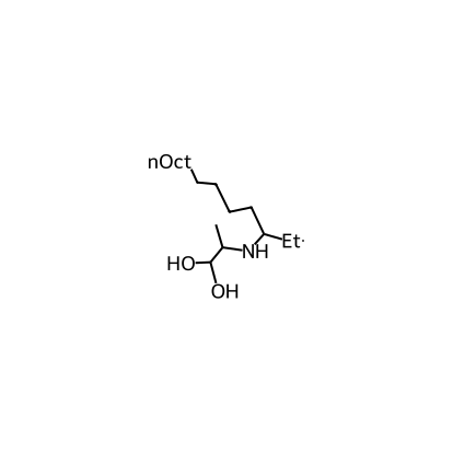 C[CH]C(CCCCCCCCCCCC)NC(C)C(O)O